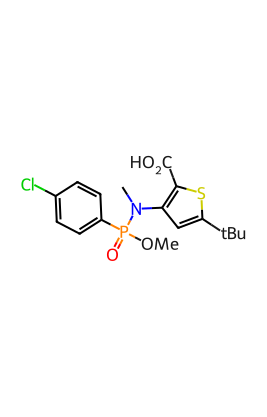 COP(=O)(c1ccc(Cl)cc1)N(C)c1cc(C(C)(C)C)sc1C(=O)O